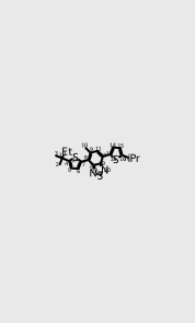 CCC(C)(C)c1ccc(-c2c(C)cc(-c3ccc(C(C)C)s3)c3nsnc23)s1